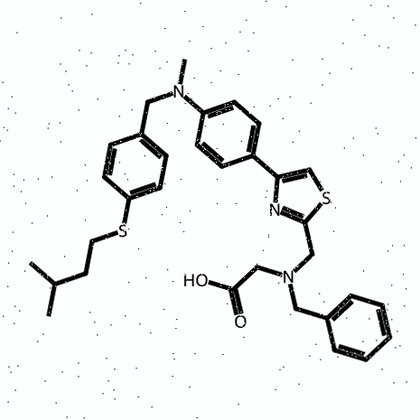 CC(C)CCSc1ccc(CN(C)c2ccc(-c3csc(CN(CC(=O)O)Cc4ccccc4)n3)cc2)cc1